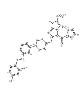 CCOC(=O)C1=CN2C(=NC(CN3CCN(c4cccc(OCc5ccc(Cl)cc5F)n4)CC3)C2C(=O)c2cncn2CC)S1